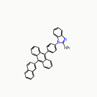 CCCc1nc2ccccc2n1-c1ccc(-c2c3ccccc3c(-c3ccc4ccccc4c3)c3ccccc23)cc1